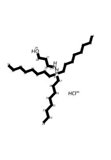 CCCCCCCC[PH](CCCCCCCC)(CCCCCCCC)NCCCO.Cl